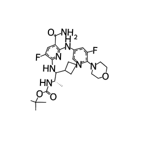 C[C@H](NC(=O)OC(C)(C)C)[C@H](Nc1nc(Nc2cnc(N3CCOCC3)c(F)c2)c(C(N)=O)cc1F)C1CCC1